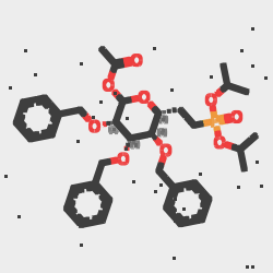 CC(=O)OC1O[C@H](CCP(=O)(OC(C)C)OC(C)C)[C@@H](OCc2ccccc2)[C@H](OCc2ccccc2)[C@@H]1OCc1ccccc1